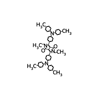 CCN1C(=O)C2=C(c3ccc(N(c4ccc(C)cc4)c4ccc(C)cc4)cc3)N(CC)C(=O)C2=C1c1ccc(N(c2ccc(C)cc2)c2ccc(C)cc2)cc1